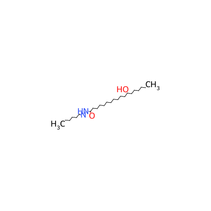 CCCCC/C=N/NC(=O)CCCCCCCCCC[C@H](O)CCCCCC